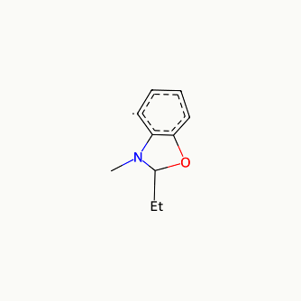 CCC1Oc2ccc[c]c2N1C